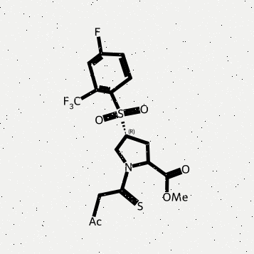 COC(=O)C1C[C@@H](S(=O)(=O)c2ccc(F)cc2C(F)(F)F)CN1C(=S)CC(C)=O